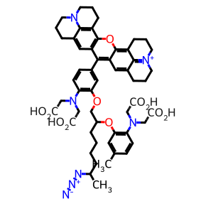 Cc1ccc(N(CC(=O)O)CC(=O)O)c(OC(CCCCC(C)N=[N+]=[N-])COc2cc(C3=c4cc5c6c(c4Oc4c3cc3c7c4CCCN7CCC3)CCC[N+]=6CCC5)ccc2N(CC(=O)O)CC(=O)O)c1